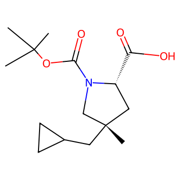 CC(C)(C)OC(=O)N1C[C@@](C)(CC2CC2)C[C@H]1C(=O)O